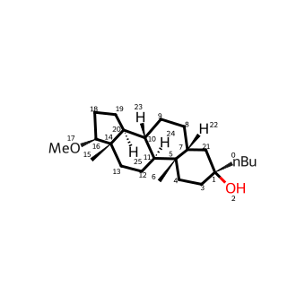 CCCC[C@@]1(O)CC[C@@]2(C)[C@H](CC[C@@H]3[C@@H]2CC[C@]2(C)[C@@H](OC)CC[C@@H]32)C1